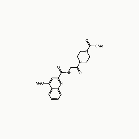 COC(=O)N1CCN(C(=O)CNC(=O)c2cc(OC)c3ccccc3n2)CC1